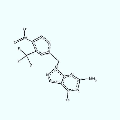 Nc1nc(Cl)c2cnn(Cc3ccc([N+](=O)[O-])c(C(F)(F)F)c3)c2n1